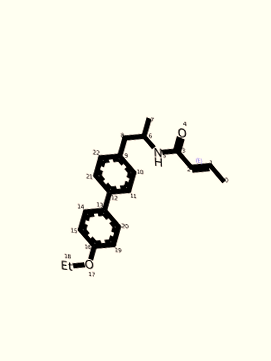 C/C=C/C(=O)NC(C)Cc1ccc(-c2ccc(OCC)cc2)cc1